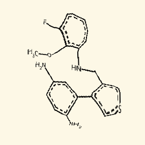 COc1c(F)cccc1NCc1cscc1-c1cc(N)ccc1N